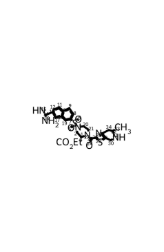 CCOC(=O)C1CN(S(=O)(=O)c2ccc3ccc(C(=N)N)cc3c2)CCN1C(=O)c1nc2c(s1)CNC(C)C2